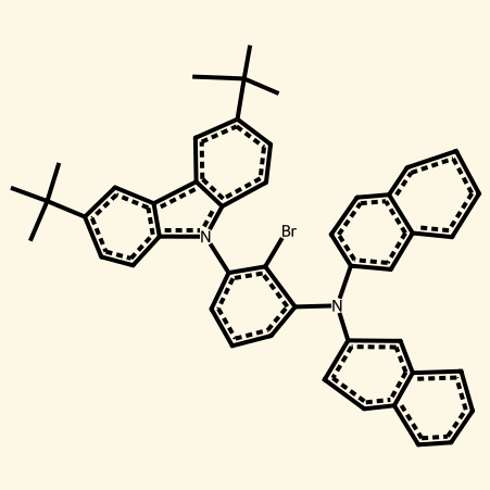 CC(C)(C)c1ccc2c(c1)c1cc(C(C)(C)C)ccc1n2-c1cccc(N(c2ccc3ccccc3c2)c2ccc3ccccc3c2)c1Br